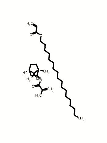 C=C(C)C(=O)OC1C[C@H]2CC[C@@]1(C)C2(C)C.C=CC(=O)OCCCCCCCCCCCCCCCCCC